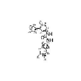 Cc1ccc(NC(=O)Nc2nc(CN(C)C(C)C)cs2)cc1-c1ccoc1